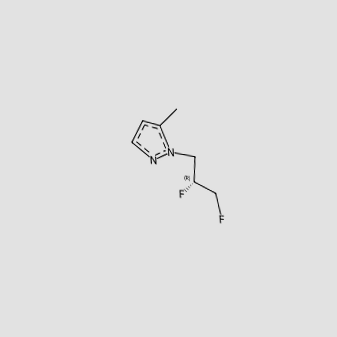 Cc1ccnn1C[C@@H](F)CF